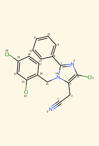 N#CCc1c(Cl)nc(-c2ccccc2)n1Cc1ccc(Cl)cc1Cl